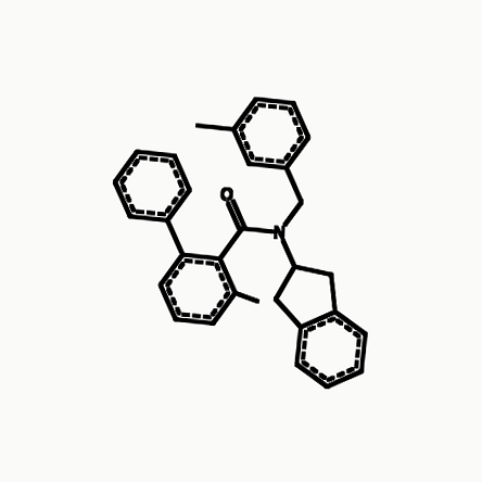 Cc1cccc(CN(C(=O)c2c(C)cccc2-c2ccccc2)C2Cc3ccccc3C2)c1